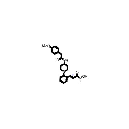 COc1ccc(CC(=O)NC2CCN(c3ccccc3/C=C/C(=O)NO)CC2)cc1